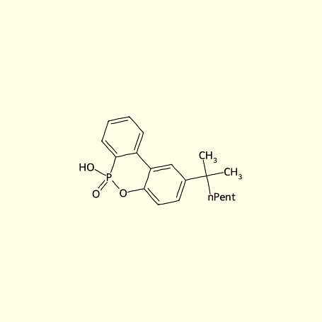 CCCCCC(C)(C)c1ccc2c(c1)-c1ccccc1P(=O)(O)O2